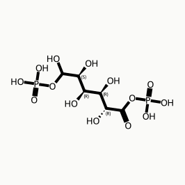 O=C(OP(=O)(O)O)[C@H](O)[C@H](O)[C@@H](O)[C@H](O)C(O)OP(=O)(O)O